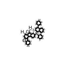 CC1(C)c2cc(N(c3ccccc3)c3ccc(-c4ccccc4)c4ccccc34)ccc2-c2c1ccc1oc3ccccc3c21